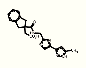 Cc1cc(-c2csc(CNC(=O)C3(CC(=O)O)Cc4ccccc4C3)n2)n[nH]1